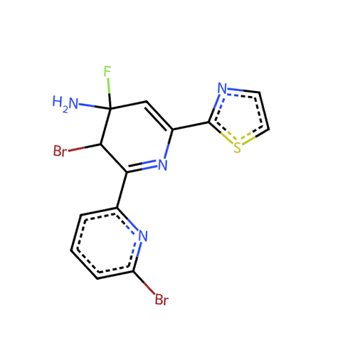 NC1(F)C=C(c2nccs2)N=C(c2cccc(Br)n2)C1Br